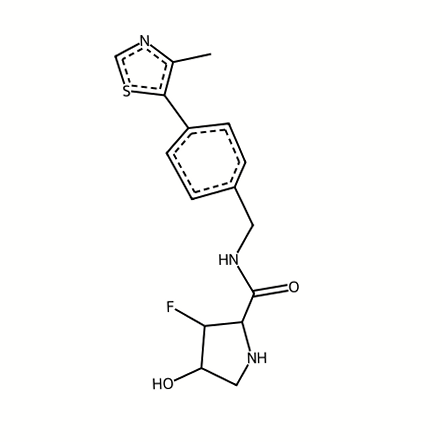 Cc1ncsc1-c1ccc(CNC(=O)C2NCC(O)C2F)cc1